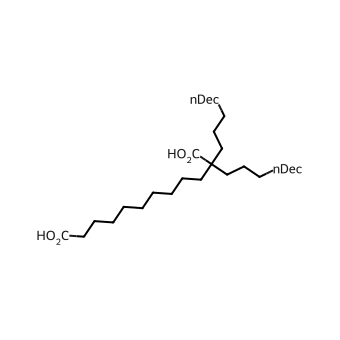 CCCCCCCCCCCCCC(CCCCCCCCCCCCC)(CCCCCCCCCC(=O)O)C(=O)O